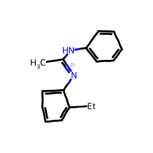 CCc1ccccc1/N=C(\C)Nc1ccccc1